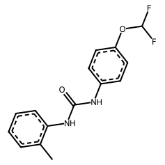 Cc1ccccc1NC(=O)Nc1ccc(OC(F)F)cc1